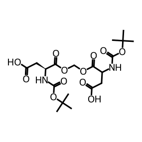 CC(C)(C)OC(=O)NC(CC(=O)O)C(=O)OCOC(=O)[C@H](CC(=O)O)NC(=O)OC(C)(C)C